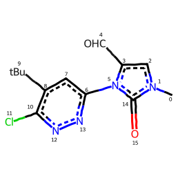 Cn1cc(C=O)n(-c2cc(C(C)(C)C)c(Cl)nn2)c1=O